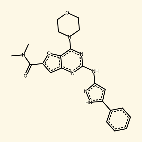 CN(C)C(=O)c1cc2nc(Nc3cc(-c4ccccc4)[nH]n3)nc(N3CCOCC3)c2o1